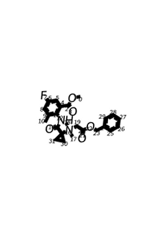 COC(=O)c1cc(F)cc(C)c1NC(=O)C1([N+](C)(C)CC(=O)OCc2ccccc2)CC1